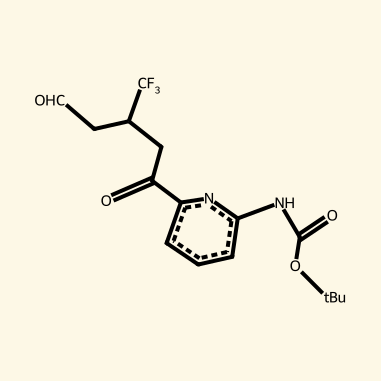 CC(C)(C)OC(=O)Nc1cccc(C(=O)CC(CC=O)C(F)(F)F)n1